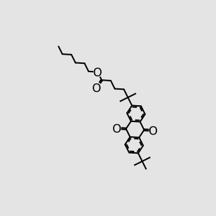 CCCCCCOC(=O)CCCC(C)(C)c1ccc2c(c1)C(=O)c1ccc(C(C)(C)C)cc1C2=O